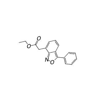 CCOC(=O)Cc1cccc2c(-c3ccccc3)onc12